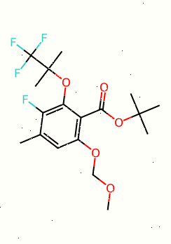 COCOc1cc(C)c(F)c(OC(C)(C)C(F)(F)F)c1C(=O)OC(C)(C)C